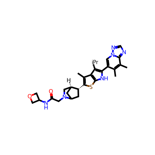 Cc1c(-c2[nH]c3sc([C@@H]4CC5C[C@H]4CN5CC(=O)NC4COC4)c(C)c3c2C(C)C)cn2ncnc2c1C